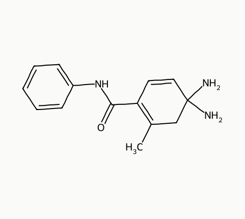 CC1=C(C(=O)Nc2ccccc2)C=CC(N)(N)C1